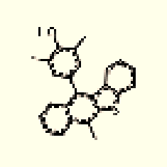 Cc1cc(-c2c3ccccc3c(C)c3sc4ccccc4c23)cc(C)c1O